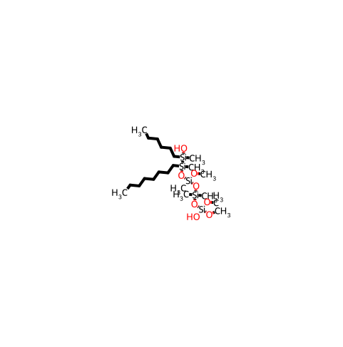 CCCCCCCC[Si](C)(O[Si](C)(OC)O[Si](C)(C)O[Si](O)(OC)OC)[Si](C)(O)CCCCCC